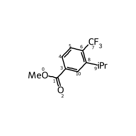 COC(=O)c1ccc(C(F)(F)F)c(C(C)C)c1